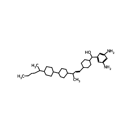 CCCCC(C)C1CCC(C2CCC(C(C)/C=C/C3CCC(C(O)c4cc(N)cc(N)c4)CC3)CC2)CC1